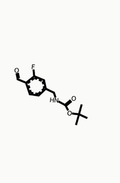 CC(C)(C)OC(=O)NCc1ccc(C=O)c(F)c1